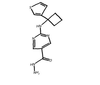 NNC(=O)c1cnc(NC2(c3ccsc3)CCC2)nc1